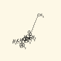 CCCCCCCCCCCCCCCC(=O)O[C@H]1CC[C@]2(C)[C@H]3CC=C4[C@@H]5CC(C)(C)CC[C@]5(C(=O)OC)CC[C@@]4(C)[C@]3(C)CC[C@H]2C1(C)C